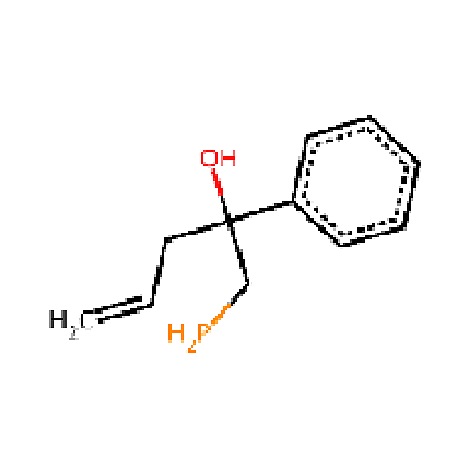 C=CCC(O)(CP)c1ccccc1